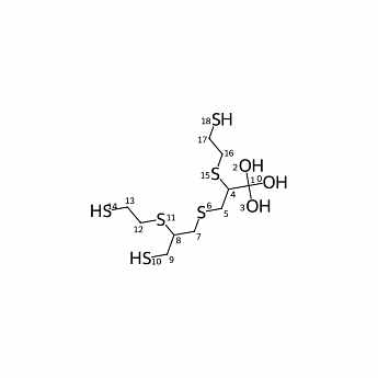 OC(O)(O)C(CSCC(CS)SCCS)SCCS